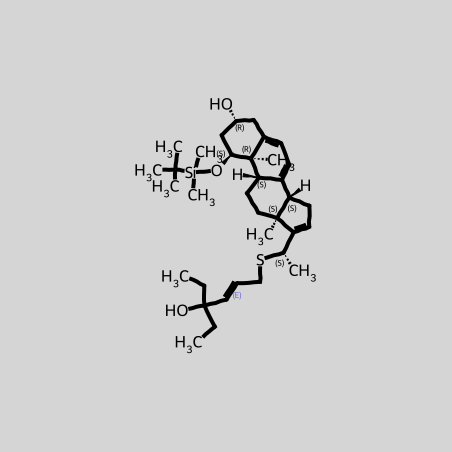 CCC(O)(/C=C/CS[C@@H](C)C1=CC[C@H]2C3=CC=C4C[C@@H](O)C[C@H](O[Si](C)(C)C(C)(C)C)[C@]4(C)[C@H]3CC[C@]12C)CC